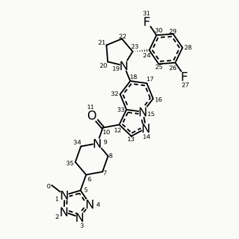 Cn1nnnc1C1CCN(C(=O)c2cnn3ccc(N4CCC[C@@H]4c4cc(F)ccc4F)cc23)CC1